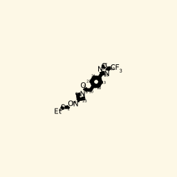 CCSCON=C1CN(C(=O)Cc2ccc(-c3noc(C(F)(F)F)n3)cc2)C1